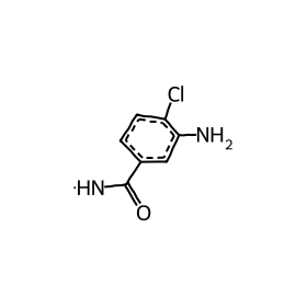 [NH]C(=O)c1ccc(Cl)c(N)c1